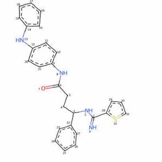 N=C(NC(CCC(=O)Nc1ccc(Nc2ccccc2)cc1)c1ccccc1)c1cccs1